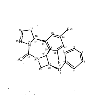 C[C@H]1[C@@H](Oc2ccccc2)CN1C(=O)N1N=CC[C@H]1c1cc(F)cc(F)c1